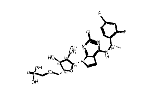 C[C@H](Nc1nc(Cl)nc2c1ccn2[C@@H]1O[C@H](COCP(=O)(O)O)[C@@H](O)[C@H]1O)c1ccc(F)cc1F